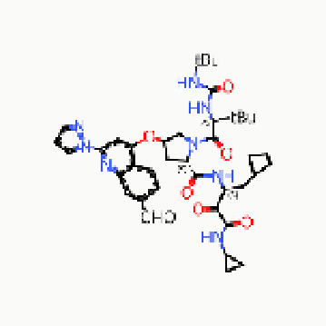 CC(C)(C)NC(=O)N[C@H](C(=O)N1CC(Oc2cc(-n3cccn3)nc3cc(C=O)ccc23)C[C@H]1C(=O)N[C@@H](CC1CCC1)C(=O)C(=O)NC1CC1)C(C)(C)C